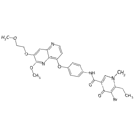 CCc1c(Br)c(=O)c(C(=O)Nc2ccc(Oc3ccnc4cc(OCCOC)c(OC)nc34)cc2)cn1C